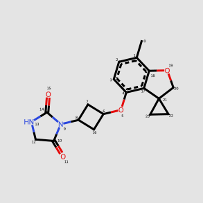 Cc1ccc(OC2CC(N3C(=O)CNC3=O)C2)c2c1OCC21CC1